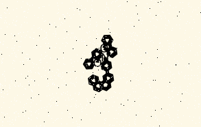 c1ccc2c(c1)ccc1ccc3ccc(-c4ccc(N(c5cccc6c5oc5ccccc56)c5cccc6c5oc5ccccc56)cc4)cc3c12